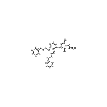 O=C(O)CN1C(=O)/C(=C/c2cccc(OCCCc3ccccc3)c2OCCCc2ccccc2)SC1=S